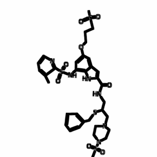 Cc1cccnc1S(=O)(=O)Nc1cc(OCCCS(C)(=O)=O)cc2cc(C(=O)NCC(CN3CCN(S(C)(=O)=O)CC3)SCc3ccccc3)[nH]c12